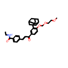 CCNC(=O)c1ccc(/C=C/C(=O)c2ccc(OCOCCOC)c(C34CC5CC(CC(C5)C3)C4)c2)cc1